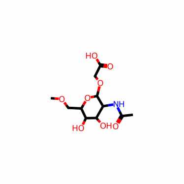 COCC1OC(OCC(=O)O)C(NC(C)=O)C(O)C1O